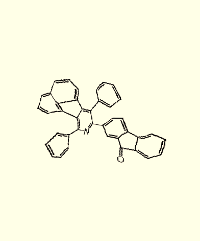 O=C1c2ccccc2-c2ccc(-c3nc(-c4ccccc4)c4c(c3-c3ccccc3)-c3cccc5cccc-4c35)cc21